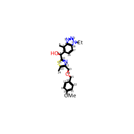 CCn1nnc2c(C)c(C(O)c3nc(COCc4ccc(OC)cc4)c(C)s3)ccc21